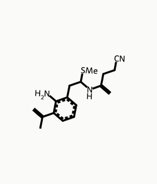 C=C(CCC#N)NC(Cc1cccc(C(=C)C)c1N)SC